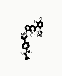 O=C(Nc1ccc(-c2cnn(C3CCc4cc(-c5c(-n6cnnn6)ccc(Cl)c5F)c[n+]([O-])c43)c2)cc1)C1CC1